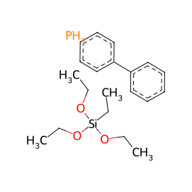 CCO[Si](CC)(OCC)OCC.P.c1ccc(-c2ccccc2)cc1